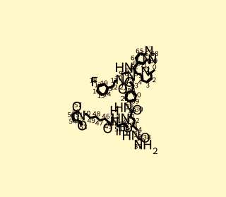 Cc1cccc(-c2nc(CN(CCc3cccc(F)c3)C(=O)OCc3ccc(NC(=O)C(CCCNC(N)=O)NC(=O)C(NC(=O)CCCCCN4C(=O)C=CC4=O)C(C)C)cc3)[nH]c2-c2ccc3ncnn3c2)n1